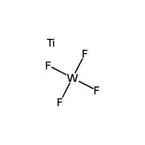 [F][W]([F])([F])[F].[Ti]